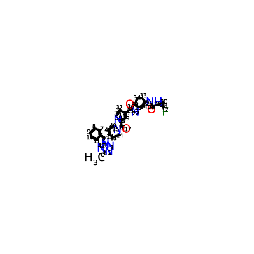 Cc1nnn([C@H](c2ccccc2)C2CCN(C(=O)c3cc(-c4nc5cc(NC(=O)[C@H]6C[C@@H]6F)ccc5o4)ccn3)CC2)n1